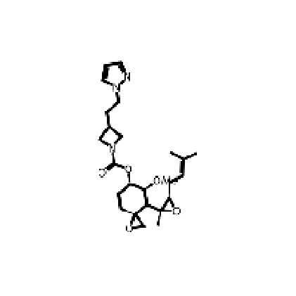 CO[C@H]1C([C@@]2(C)O[C@@H]2CC=C(C)C)[C@]2(CC[C@H]1OC(=O)N1CC(CCn3cccn3)C1)CO2